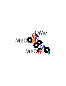 COC(=O)C[C@H](C)N(Cc1ccc(F)cc1)c1ccc(N(CC(=O)OC)S(=O)(=O)c2ccc(OC)cc2)c2ccccc12